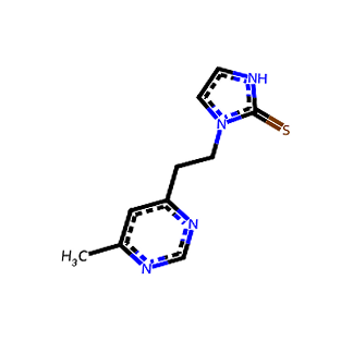 Cc1cc(CCn2cc[nH]c2=S)ncn1